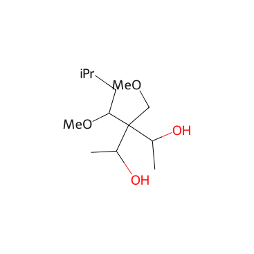 COCC(C(C)O)(C(C)O)C(CC(C)C)OC